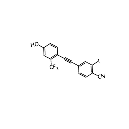 N#Cc1ccc(C#Cc2ccc(O)cc2C(F)(F)F)cc1I